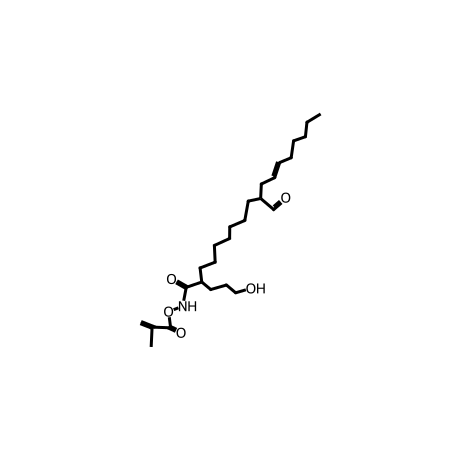 C=C(C)C(=O)ONC(=O)C(CCCO)CCCCCCCC(C=O)CC=CCCCCC